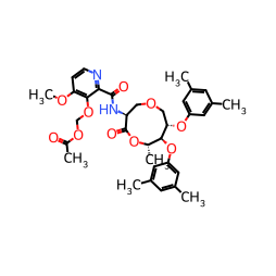 COc1ccnc(C(=O)N[C@H]2COC[C@H](Oc3cc(C)cc(C)c3)[C@@H](Oc3cc(C)cc(C)c3)[C@H](C)OC2=O)c1OCOC(C)=O